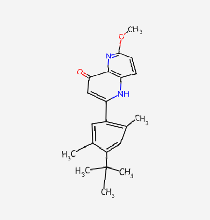 COc1ccc2[nH]c(-c3cc(C)c(C(C)(C)C)cc3C)cc(=O)c2n1